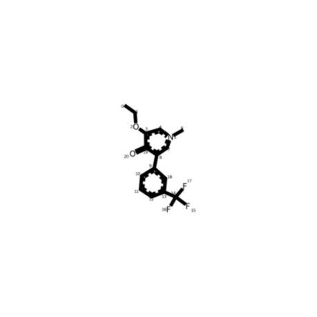 CCOc1cn(C)cc(-c2cccc(C(F)(F)F)c2)c1=O